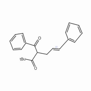 CC(C)(C)C(=O)C(C/C=C/c1ccccc1)C(=O)c1ccccc1